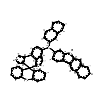 c1ccc2c(c1)Sc1ccccc1C21c2ccccc2-c2ccc(N(c3ccc4ccccc4c3)c3ccc4c(c3)sc3cc5ccccc5cc34)c3cccc1c23